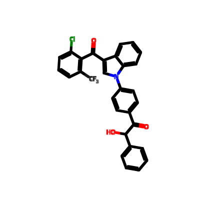 O=C(c1c(Cl)cccc1C(F)(F)F)c1cn(-c2ccc(C(=O)C(O)c3ccccc3)cc2)c2ccccc12